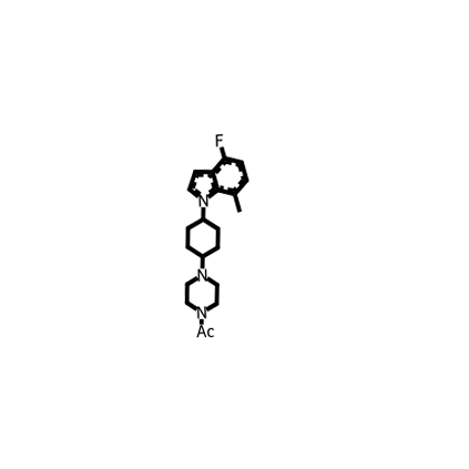 CC(=O)N1CCN(C2CCC(n3ccc4c(F)ccc(C)c43)CC2)CC1